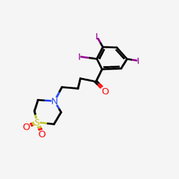 O=C(CCCN1CCS(=O)(=O)CC1)c1cc(I)cc(I)c1I